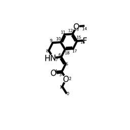 CCOC(=O)/C=C1\NCCc2cc(OC)c(F)cc21